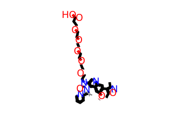 COc1cc2c(cc1-c1c(C)noc1C)ncc1c2n([C@H](C)c2ccccn2)c(=O)n1CCOCCOCCOCCOCCOCCC(=O)O